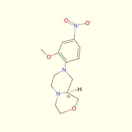 COc1cc([N+](=O)[O-])ccc1N1CCN2CCOC[C@@H]2C1